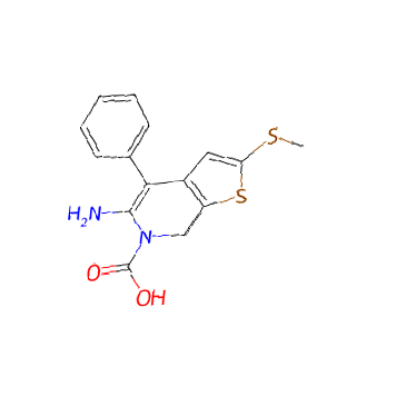 CSc1cc2c(s1)CN(C(=O)O)C(N)=C2c1ccccc1